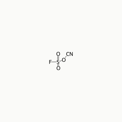 N#COS(=O)(=O)F